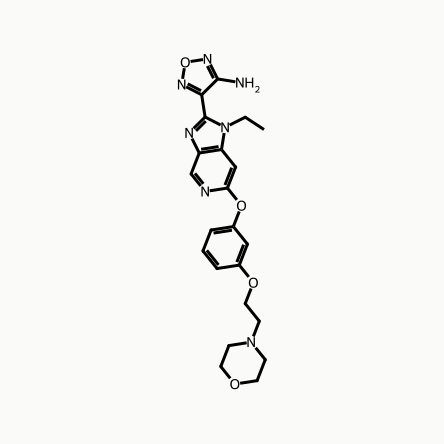 CCn1c(-c2nonc2N)nc2cnc(Oc3cccc(OCCN4CCOCC4)c3)cc21